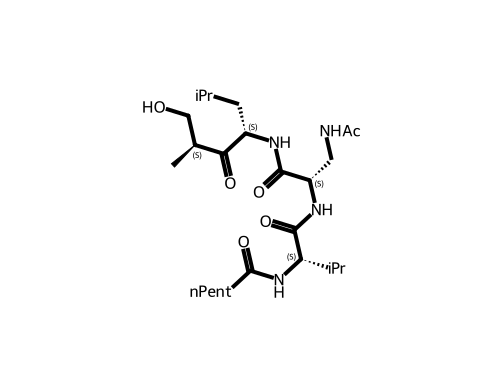 CCCCCC(=O)N[C@H](C(=O)N[C@@H](CNC(C)=O)C(=O)N[C@@H](CC(C)C)C(=O)[C@@H](C)CO)C(C)C